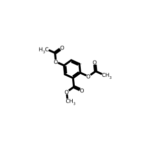 COC(=O)c1cc(OC(C)=O)c[c]c1OC(C)=O